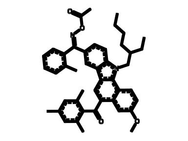 CCCCC(CC)Cn1c2ccc(/C(=N\OC(C)=O)c3ccccc3C)cc2c2cc(C(=O)c3c(C)cc(C)cc3C)c3cc(OC)ccc3c21